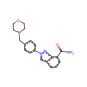 NC(=O)c1cccc2cn(-c3ccc(CN4CCOCC4)cc3)nc12